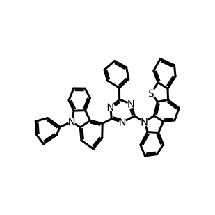 c1ccc(-c2nc(-c3cccc4c3c3ccccc3n4-c3ccccc3)nc(-n3c4ccccc4c4ccc5c6ccccc6sc5c43)n2)cc1